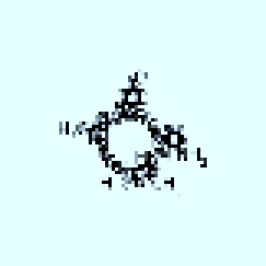 CCn1nc(C)c2c1C(=O)Nc1nc3c(N)cccc3n1CCCCn1c(nc3cc(C=O)ccc31)NC(=O)c1cc(C)nn1CCCCC2